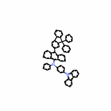 c1ccc(N(c2ccc(-n3c4ccccc4c4ccccc43)cc2)c2c3ccccc3c(-c3ccc4c(c3)C(c3ccccc3)(c3ccccc3)c3ccccc3-4)c3ccccc23)cc1